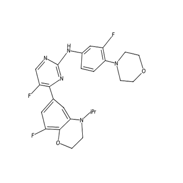 CC(C)N1CCOc2c(F)cc(-c3nc(Nc4ccc(N5CCOCC5)c(F)c4)ncc3F)cc21